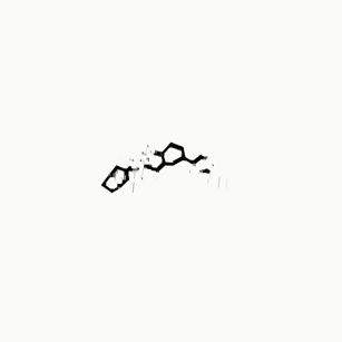 Cc1ncc(-c2ccc3nnc(NC(=O)N4C5CCC4CC(N)C5)cc3c2)o1